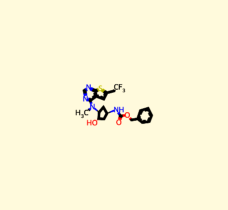 CN(c1ncnc2sc(CC(F)(F)F)cc12)[C@H]1C[C@@H](NC(=O)OCc2ccccc2)C[C@@H]1O